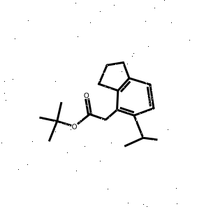 CC(C)c1ccc2c(c1CC(=O)OC(C)(C)C)CCC2